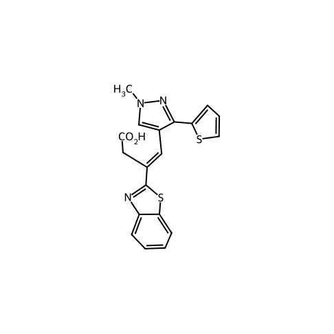 Cn1cc(/C=C(\CC(=O)O)c2nc3ccccc3s2)c(-c2cccs2)n1